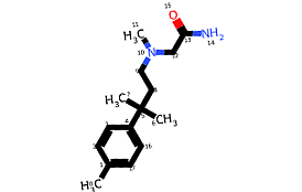 Cc1ccc(C(C)(C)CCN(C)CC(N)=O)cc1